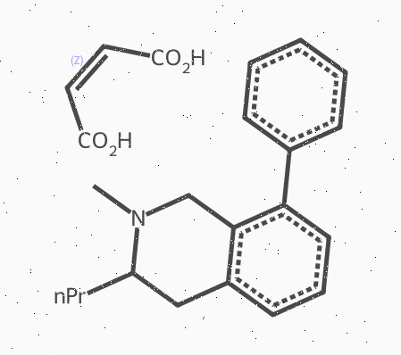 CCCC1Cc2cccc(-c3ccccc3)c2CN1C.O=C(O)/C=C\C(=O)O